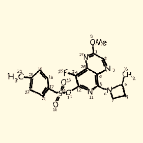 COc1cnc2c(N3CC[C@@H]3C)nc(OS(=O)(=O)c3ccc(C)cc3)c(F)c2n1